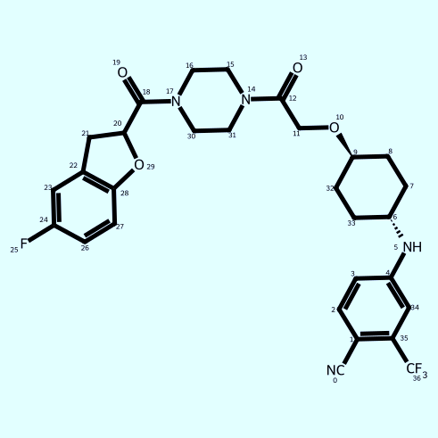 N#Cc1ccc(N[C@H]2CC[C@H](OCC(=O)N3CCN(C(=O)C4Cc5cc(F)ccc5O4)CC3)CC2)cc1C(F)(F)F